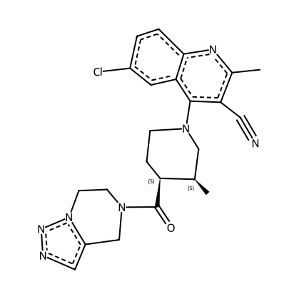 Cc1nc2ccc(Cl)cc2c(N2CC[C@H](C(=O)N3CCn4nncc4C3)[C@H](C)C2)c1C#N